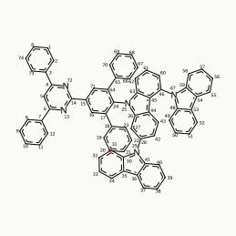 c1ccc(-c2cc(-c3ccccc3)nc(-c3cc(-c4ccccc4)c(-n4c5cc(-n6c7ccccc7c7ccccc76)ccc5c5c(-n6c7ccccc7c7ccccc76)cccc54)c(-c4ccccc4)c3)n2)cc1